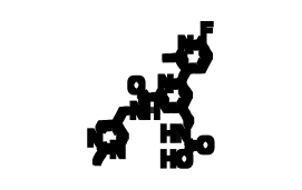 Cc1ncc(CNC(=O)c2cc(CNC(=O)O)cc(-c3ccc(F)nc3C)n2)cn1